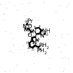 CC(C)c1nnc(C(=O)N2CCc3[nH]cnc3[C@H]2c2cc3cccc(C(P)P)n3n2)o1